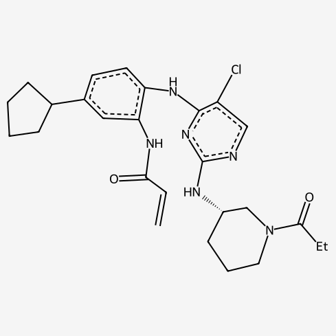 C=CC(=O)Nc1cc(C2CCCC2)ccc1Nc1nc(N[C@H]2CCCN(C(=O)CC)C2)ncc1Cl